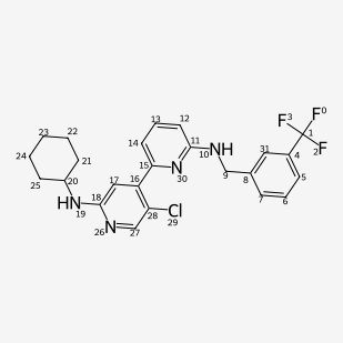 FC(F)(F)c1cccc(CNc2cccc(-c3cc(NC4CCCCC4)ncc3Cl)n2)c1